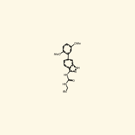 CCC(C)CNC(=O)Nc1n[nH]c2cc(-c3cc(OC)ccc3OC)ccc12